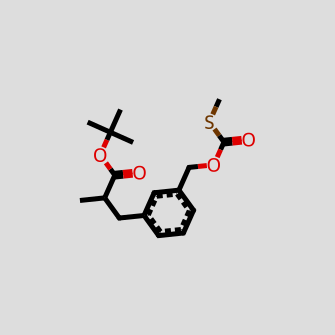 CSC(=O)OCc1cccc(CC(C)C(=O)OC(C)(C)C)c1